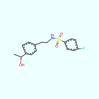 CC(O)c1ccc(CCNS(=O)(=O)c2ccc(F)cc2)cc1